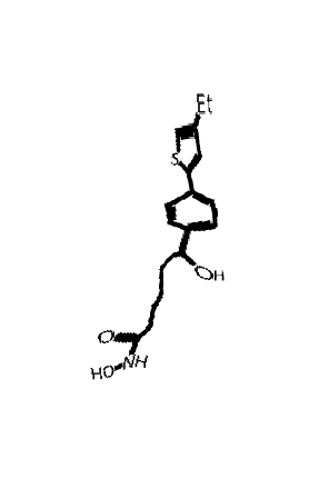 CCc1csc(-c2ccc(C(O)CCCCC(=O)NO)cc2)c1